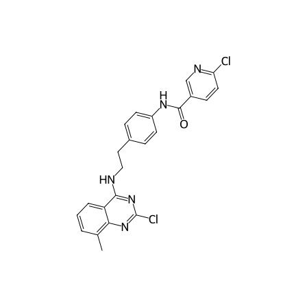 Cc1cccc2c(NCCc3ccc(NC(=O)c4ccc(Cl)nc4)cc3)nc(Cl)nc12